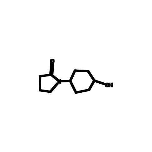 O=C1CCCN1C1CCC(O)CC1